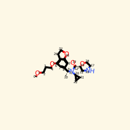 COCCCOc1cc([C@@H](C)N(C(=O)[C@H]2CNCCO2)C2CC2)cc2c1CCO2